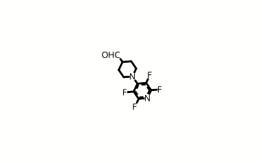 O=CC1CCN(c2c(F)c(F)nc(F)c2F)CC1